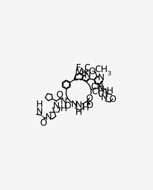 CO[C@@H](C)c1ncc(N2CCN3CCOC[C@@H]3C2)cc1-c1c2c3cc(ccc3n1CC(F)(F)F)-c1cccc(c1)C[C@H](NC(=O)C(C1CCCC1)N1CC[C@]3(CCN(C(=O)[C@H]4CN4)C3)C1)C(=O)N1CCC[C@H](N1)C(=O)OCC(C)(C)C2